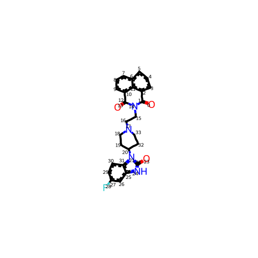 O=C1c2cccc3cccc(c23)C(=O)N1CCN1CCC(n2c(=O)[nH]c3cc(F)ccc32)CC1